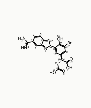 N=C(N)c1ccc2c(c1)=NC(c1cc([C@@H](CC(=O)O)C(=O)O)cc(Br)c1O)N=2